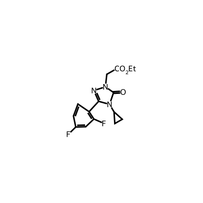 CCOC(=O)Cn1nc(-c2ccc(F)cc2F)n(C2CC2)c1=O